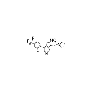 OC(CC1CCc2c(-c3ccc(C(F)(F)F)cc3F)cncc21)N1CCCC1